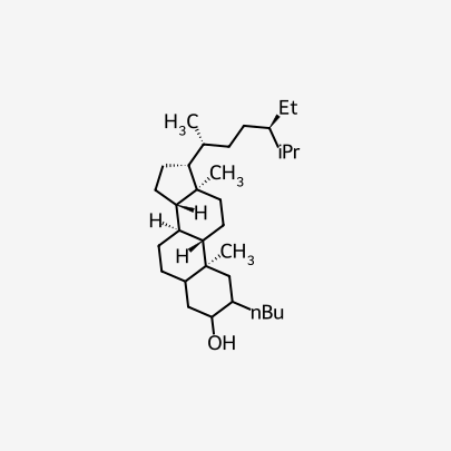 CCCCC1C[C@@]2(C)C(CC[C@H]3[C@@H]4CC[C@H]([C@H](C)CC[C@@H](CC)C(C)C)[C@@]4(C)CC[C@@H]32)CC1O